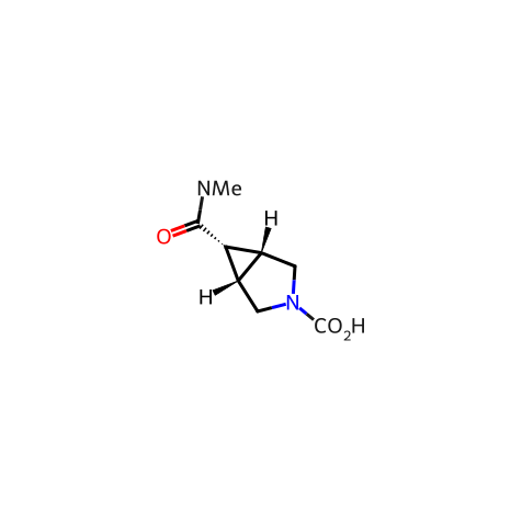 CNC(=O)[C@@H]1[C@@H]2CN(C(=O)O)C[C@@H]21